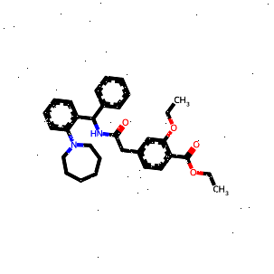 CCOC(=O)c1ccc(CC(=O)NC(c2ccccc2)c2ccccc2N2CCCCCC2)cc1OCC